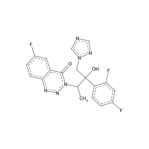 CC(n1nnc2ccc(F)cc2c1=O)C(O)(Cn1cncn1)c1ccc(F)cc1F